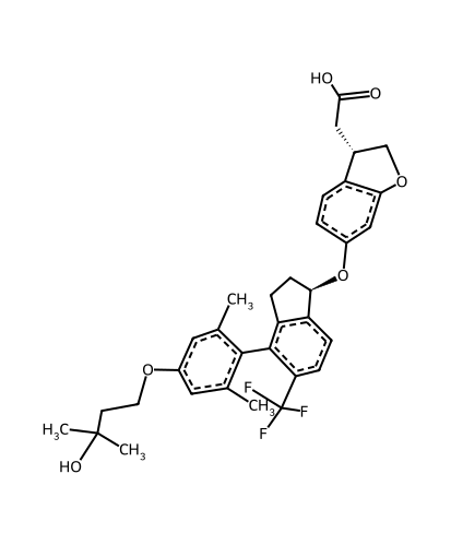 Cc1cc(OCCC(C)(C)O)cc(C)c1-c1c(C(F)(F)F)ccc2c1CC[C@H]2Oc1ccc2c(c1)OC[C@H]2CC(=O)O